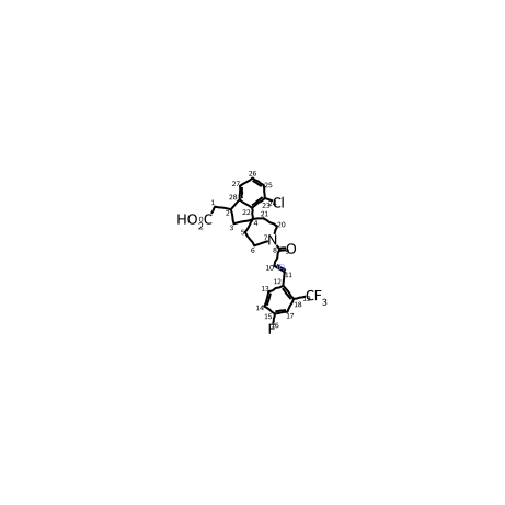 O=C(O)CC1CC2(CCN(C(=O)/C=C/c3ccc(F)cc3C(F)(F)F)CC2)c2c(Cl)cccc21